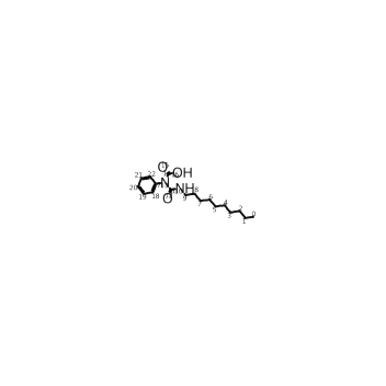 CCCCCCCCCCNC(=O)N(C(=O)O)c1ccccc1